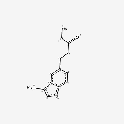 CC(C)(C)OC(=O)CCc1ccc2ncc(C(=O)O)n2c1